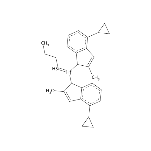 CCC[SiH]=[Hf]([CH]1C(C)=Cc2c(C3CC3)cccc21)[CH]1C(C)=Cc2c(C3CC3)cccc21